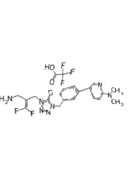 CN(C)c1ccc(-c2cccc(Cn3nnn(CC(CN)=C(F)F)c3=O)c2)cn1.O=C(O)C(F)(F)F